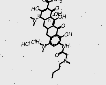 CCCCN(C)CC(=O)Nc1cc(N(C)C)c2c(c1O)C(=O)C1=C(O)[C@]3(O)C(=O)C(C(N)=O)=C(O)[C@@H](N(C)C)C3CC1C2.Cl.Cl